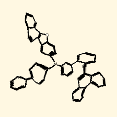 c1ccc(-c2ccc(N(c3cccc(-c4ccccc4-c4cc5ccccc5c5ccccc45)c3)c3ccc4oc5c6ccccc6ccc5c4c3)cc2)cc1